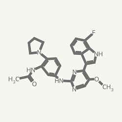 COc1cnc(Nc2ccc(N3CCCC3)c(NC(C)=O)c2)nc1-c1c[nH]c2c(F)cccc12